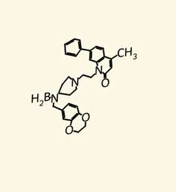 BN(Cc1ccc2c(c1)OCCO2)C1CCN(CCn2c(=O)cc(C)c3ccc(-c4ccccc4)cc32)CC1